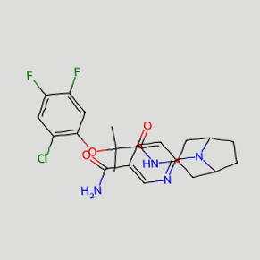 CC(C)(Oc1cc(F)c(F)cc1Cl)C(=O)NC1CC2CCC(C1)N2c1ccc(C(N)=O)cn1